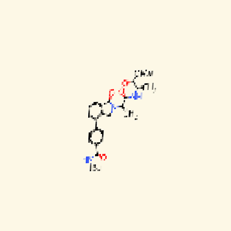 C=C(NC(=O)C(=C)N1Cc2c(cccc2-c2ccc(C(=O)NC(C)(C)C)cc2)C1=O)C(=O)OC